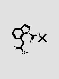 CC(C)(C)OC(=O)n1ccc2cccc(CC(=O)O)c21